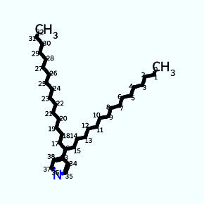 CCCCCCCCCCCCCCCCC(CCCCCCCCCCCCCCCC)c1ccncc1